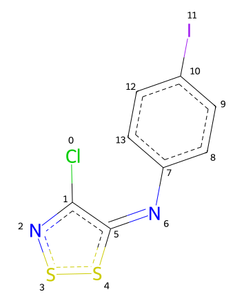 Clc1nssc1=Nc1ccc(I)cc1